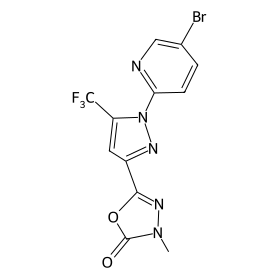 Cn1nc(-c2cc(C(F)(F)F)n(-c3ccc(Br)cn3)n2)oc1=O